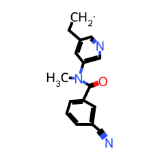 [CH2]Cc1cncc(N(C)C(=O)c2cccc(C#N)c2)c1